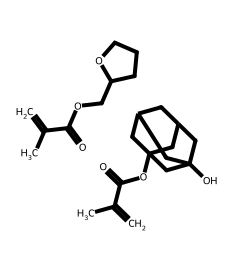 C=C(C)C(=O)OC12CC3CC(CC(O)(C3)C1)C2.C=C(C)C(=O)OCC1CCCO1